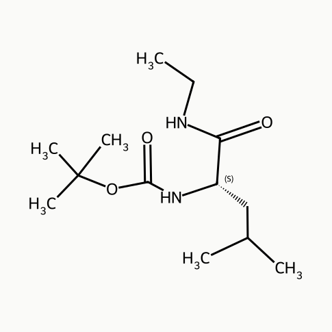 CCNC(=O)[C@H](CC(C)C)NC(=O)OC(C)(C)C